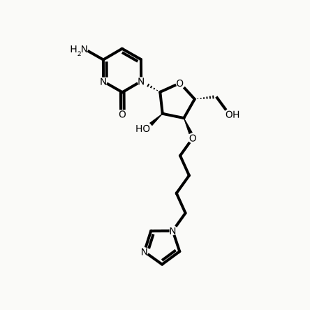 Nc1ccn([C@@H]2O[C@H](CO)[C@@H](OCCCCn3ccnc3)[C@H]2O)c(=O)n1